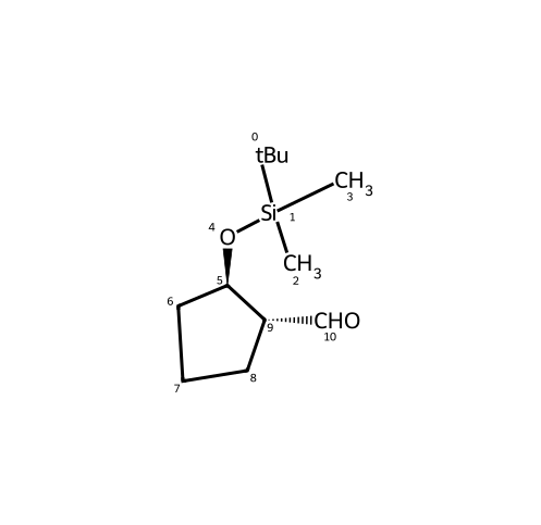 CC(C)(C)[Si](C)(C)O[C@@H]1CCC[C@H]1C=O